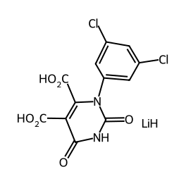 O=C(O)c1c(C(=O)O)n(-c2cc(Cl)cc(Cl)c2)c(=O)[nH]c1=O.[LiH]